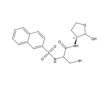 CC(C)CC(NS(=O)(=O)c1ccc2ccccc2c1)C(=O)N[C@H]1CCOC1O